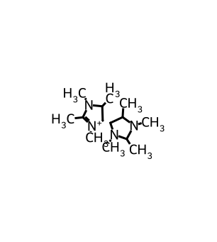 CC1=[N+](C)CC(C)N1C.CC1CN(C)C(C)N1C